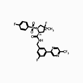 C[C@@]1(F)C[C@@H](C(=O)NCc2cc(F)cc(-c3cnc(C(F)(F)F)cn3)c2)N(S(=O)(=O)c2ccc(F)cc2)C1